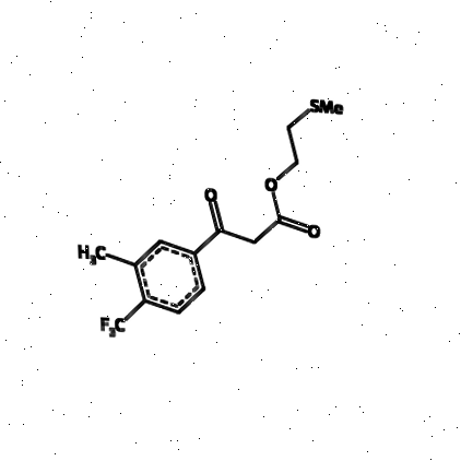 CSCCOC(=O)CC(=O)c1ccc(C(F)(F)F)c(C)c1